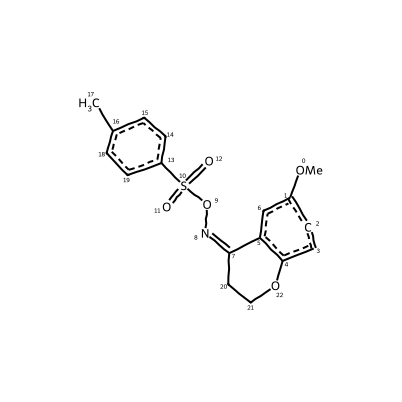 COc1ccc2c(c1)/C(=N\OS(=O)(=O)c1ccc(C)cc1)CCO2